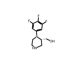 OC[C@@H]1CNCCN1c1cc(F)c(F)c(F)c1